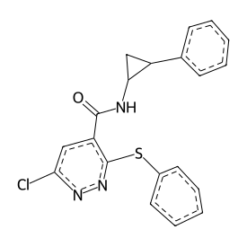 O=C(NC1CC1c1ccccc1)c1cc(Cl)nnc1Sc1ccccc1